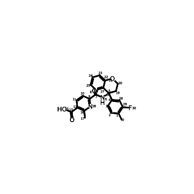 Cc1ccc([C@@]2(NC(=O)c3ccc(C(=O)O)c(C)n3)CCOc3cccnc32)cc1F